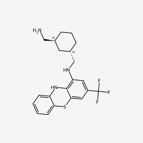 NC[C@H]1CCC[C@H](CNc2cc(C(F)(F)F)cc3c2Nc2ccccc2S3)C1